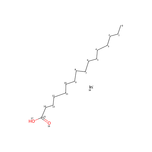 CCCCCCCCCCCCCCCC(=O)O.[In]